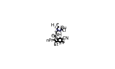 C=C/C=C(\C=C(\Cl)C(C)CC)CNC(=O)n1c(CCC)c(CC)c2cc(F)c(C#N)cc21